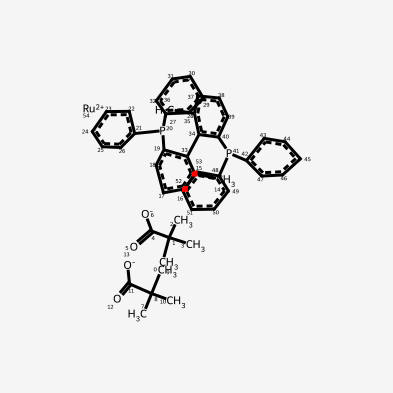 CC(C)(C)C(=O)[O-].CC(C)(C)C(=O)[O-].Cc1cccc(P(c2ccccc2)c2ccccc2)c1-c1c(C)cccc1P(c1ccccc1)c1ccccc1.[Ru+2]